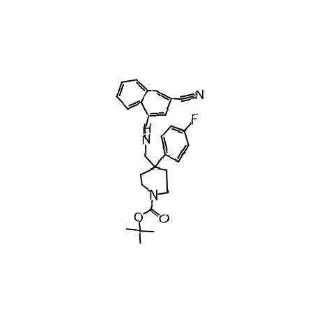 CC(C)(C)OC(=O)N1CCC(CNCc2cc(C#N)cc3ccccc23)(c2ccc(F)cc2)CC1